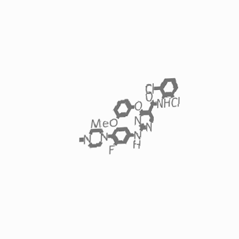 COc1cccc(Oc2nc(Nc3ccc(N4CCN(C)CC4)c(F)c3)ncc2C(=O)Nc2c(Cl)cccc2Cl)c1